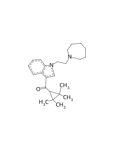 CC1(C)C(C(=O)c2cn(CCN3CCCCCC3)c3ccccc23)C1(C)C